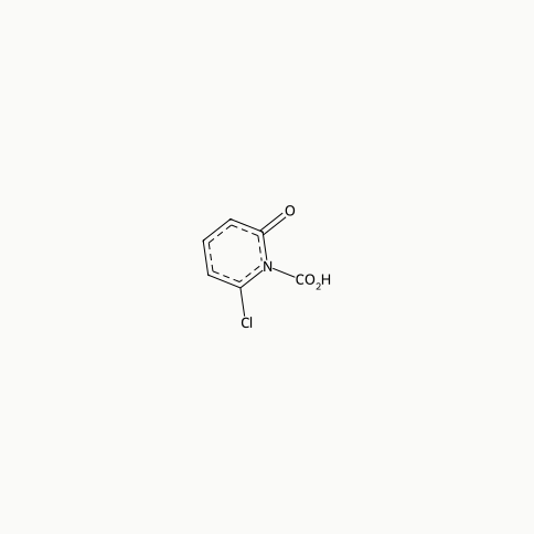 O=C(O)n1c(Cl)cccc1=O